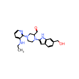 CCNc1cccnc1N1CCN(c2cc3ccc(CO)cc3[nH]2)C(C=O)C1